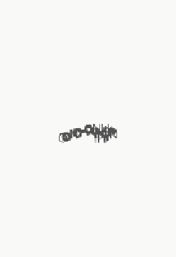 Cc1cc(-c2[nH]c3ccc(C4CCN(C5CCOCC5)CC4)cc3c2C(C)C)cn2ccnc12